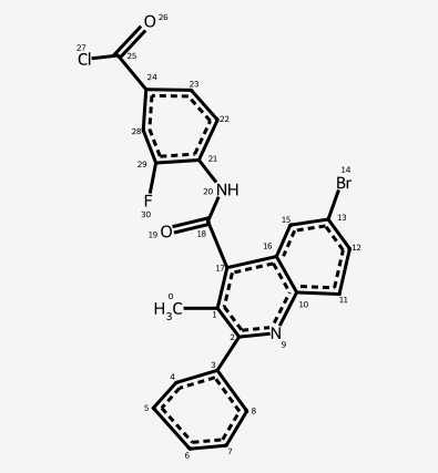 Cc1c(-c2ccccc2)nc2ccc(Br)cc2c1C(=O)Nc1ccc(C(=O)Cl)cc1F